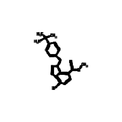 COC(=O)c1ccc(Br)c2ccn(Cc3ccc(C(C)(C)C)cc3)c12